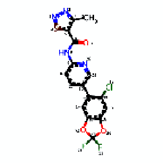 Cc1nnsc1C(=O)Nc1ccc(-c2cc3c(cc2Cl)OC(F)(F)O3)cn1